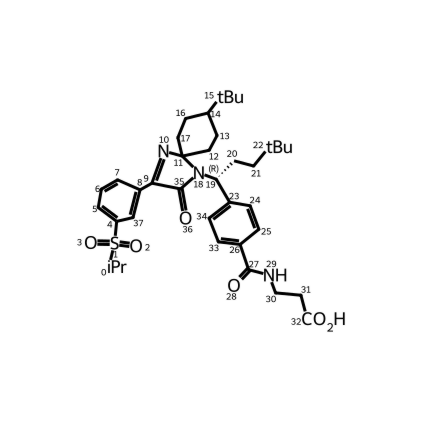 CC(C)S(=O)(=O)c1cccc(C2=NC3(CCC(C(C)(C)C)CC3)N([C@H](CCC(C)(C)C)c3ccc(C(=O)NCCC(=O)O)cc3)C2=O)c1